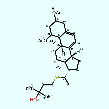 CCCC(O)(CCC)CCSC(C)[C@H]1CC[C@H]2C3=CC=C4CC(OC(C)=O)CC(OC(C)=O)[C@]4(C)[C@H]3CC[C@]12C